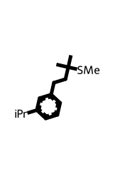 CSC(C)(C)CCc1cccc(C(C)C)c1